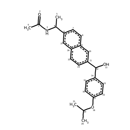 CC(=O)NC(C)c1ccc2cc(C(O)c3ccc(OC(C)C)cc3)ccc2c1